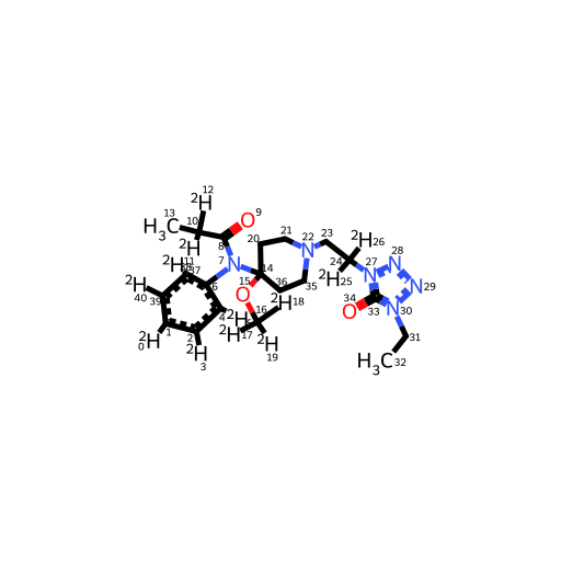 [2H]c1c([2H])c([2H])c(N(C(=O)C([2H])([2H])C)C2(OC([2H])([2H])[2H])CCN(CC([2H])([2H])n3nnn(CC)c3=O)CC2)c([2H])c1[2H]